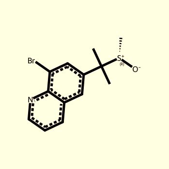 C[S@+]([O-])C(C)(C)c1cc(Br)c2ncccc2c1